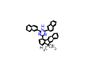 CC1(C)c2cc3ccccc3cc2-c2c(C3=NC(c4ccc5ccccc5c4)NC(c4ccc5ccccc5c4)=N3)cccc21